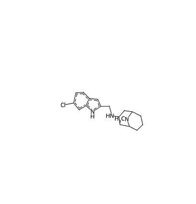 CN1C2CCCC1CC(NCc1cc3ccc(Cl)cc3[nH]1)C2